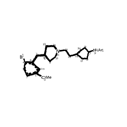 COc1ccc(Br)c(CC2CCN(CCC3CCC(NC(C)=O)CC3)CC2)c1